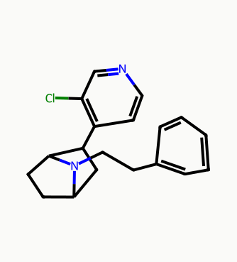 Clc1cnccc1C1CC2CCC1N2CCc1ccccc1